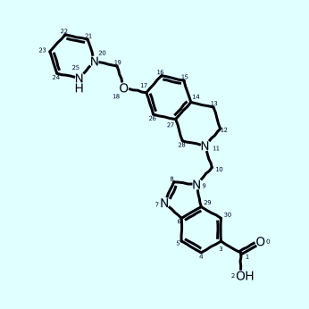 O=C(O)c1ccc2ncn(CN3CCc4ccc(OCN5C=CC=CN5)cc4C3)c2c1